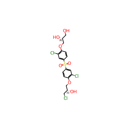 O=S(=O)(c1ccc(OC[C@H](O)CO)c(Cl)c1)c1ccc(OC[C@H](O)CCl)c(Cl)c1